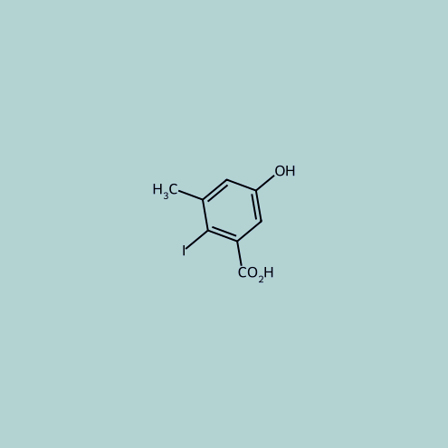 Cc1cc(O)cc(C(=O)O)c1I